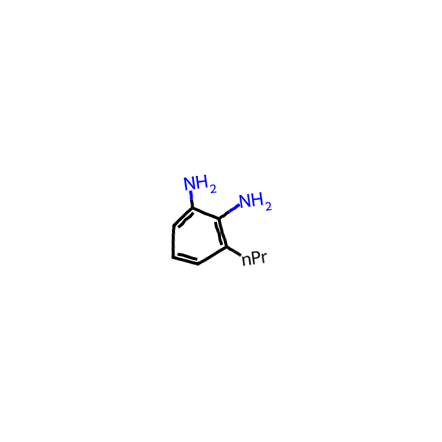 CCCc1cccc(N)c1N